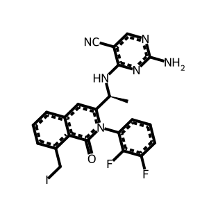 C[C@H](Nc1nc(N)ncc1C#N)c1cc2cccc(CI)c2c(=O)n1-c1cccc(F)c1F